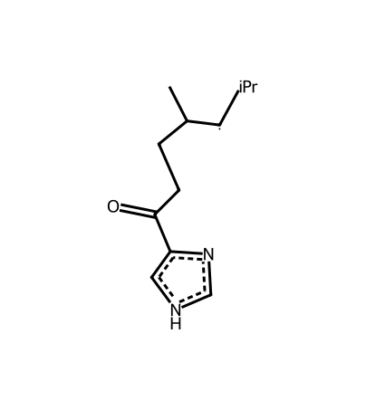 CC(C)[CH]C(C)CCC(=O)c1c[nH]cn1